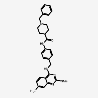 CNc1nc(NCc2ccc(NC(=O)C3CCN(Cc4ccccc4)CC3)cc2)c2ccc(C)cc2n1